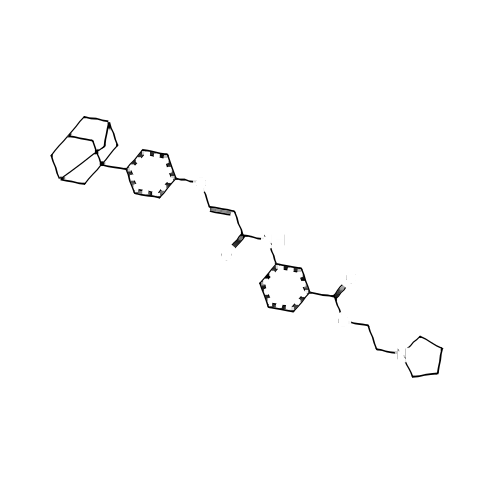 O=C(/C=C/Oc1ccc(C23CC4CC(CC(C4)C2)C3)cc1)Nc1cccc(C(=O)OCCN2CCCC2)c1